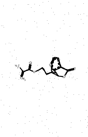 C=C(C)C(=O)OCCc1c2c3oc1cc3C(=O)O2